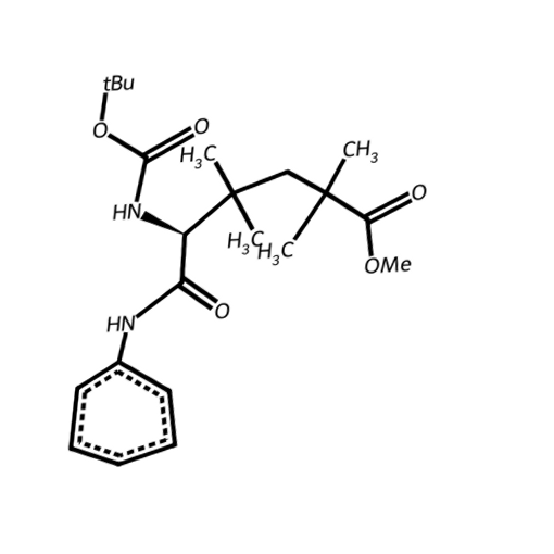 COC(=O)C(C)(C)CC(C)(C)[C@H](NC(=O)OC(C)(C)C)C(=O)Nc1ccccc1